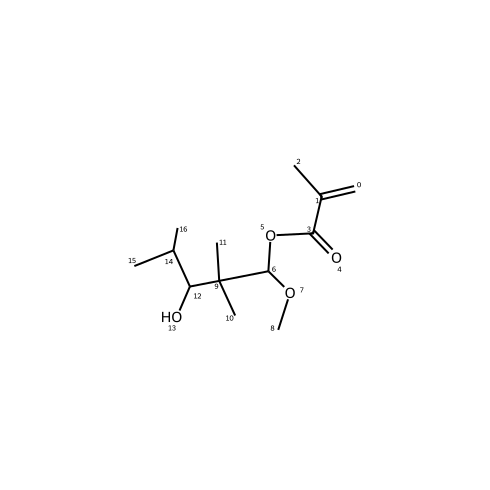 C=C(C)C(=O)OC(OC)C(C)(C)C(O)C(C)C